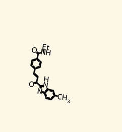 CCNC(=O)c1ccc(C=CC(=O)c2nc3ccc(C)cc3[nH]2)cc1